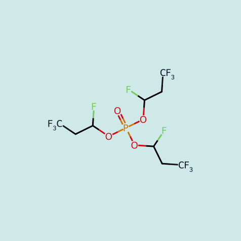 O=P(OC(F)CC(F)(F)F)(OC(F)CC(F)(F)F)OC(F)CC(F)(F)F